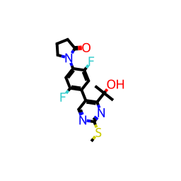 CSc1ncc(-c2cc(F)c(N3CCCC3=O)cc2F)c(C(C)(C)O)n1